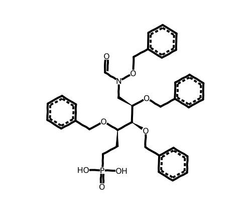 O=CN(C[C@@H](OCc1ccccc1)[C@@H](OCc1ccccc1)[C@@H](CCP(=O)(O)O)OCc1ccccc1)OCc1ccccc1